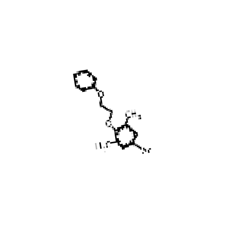 CC(=O)c1cc(C)c(OCCOc2ccccc2)c(C)c1